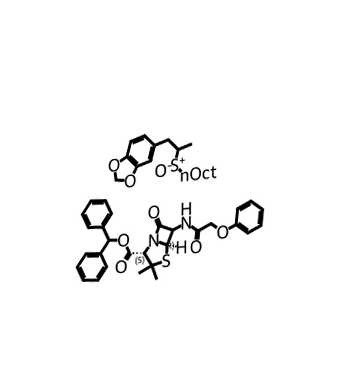 CC1(C)S[C@@H]2C(NC(=O)COc3ccccc3)C(=O)N2[C@H]1C(=O)OC(c1ccccc1)c1ccccc1.CCCCCCCC[S+]([O-])C(C)Cc1ccc2c(c1)OCO2